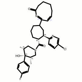 C[C@@H]1CN(C(=O)[C@@H]2CCCC(C3=N/C(=O)CCCC/C=C\3)C[C@H]2c2ccc(Cl)cn2)C[C@H](C)[C@@]1(O)c1ccc(F)cc1